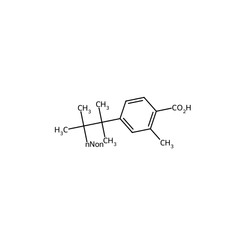 CCCCCCCCCC(C)(C)C(C)(C)c1ccc(C(=O)O)c(C)c1